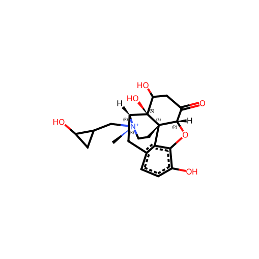 C[N@+]1(CC2CC2O)CC[C@]23c4c5ccc(O)c4O[C@H]2C(=O)CC(O)[C@@]3(O)[C@H]1C5